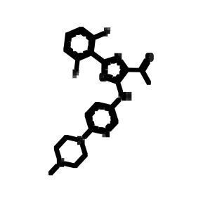 CC(=O)c1nc(-c2c(F)cccc2F)oc1Nc1ccc(N2CCN(C)CC2)nc1